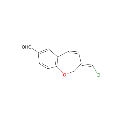 O=Cc1ccc2c(c1)C=C/C(=C/Cl)CO2